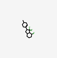 CC1CC=C(C2CC3CCCC(F)C3C2(F)F)CC1